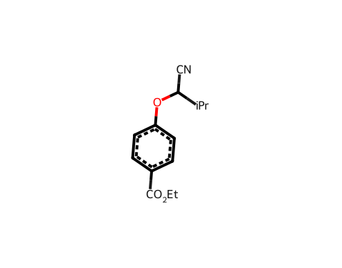 CCOC(=O)c1ccc(OC(C#N)C(C)C)cc1